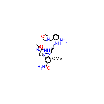 CCc1nc(C)oc1Nc1nc2cc(C(N)=O)cc(OC)c2n1C/C=C/CNc1c(N)cccc1CN1CCOCC1